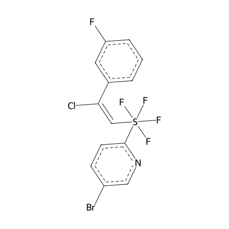 Fc1cccc(/C(Cl)=C\S(F)(F)(F)(F)c2ccc(Br)cn2)c1